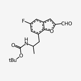 CC(Cc1cc(F)cc2cc(C=O)oc12)NC(=O)OC(C)(C)C